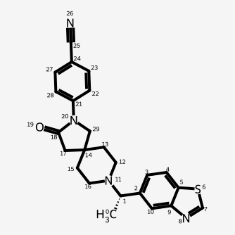 C[C@@H](c1ccc2scnc2c1)N1CCC2(CC1)CC(=O)N(c1ccc(C#N)cc1)C2